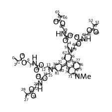 C=C(C)C(=O)OCCNC(=O)OCCN(CCOC(=O)NCCOC(=O)C(=C)C)c1ccc(C(=C2C=CC(=[N+](CCOC(=O)NCCOC(=O)C(=C)C)CCOC(=O)NCCOC(=O)C(=C)C)C=C2)c2ccc(NC)c3ccccc23)cc1